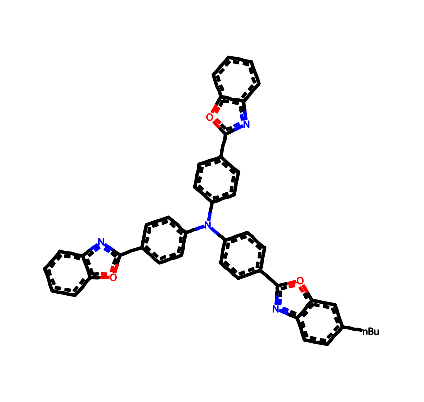 CCCCc1ccc2nc(-c3ccc(N(c4ccc(-c5nc6ccccc6o5)cc4)c4ccc(-c5nc6ccccc6o5)cc4)cc3)oc2c1